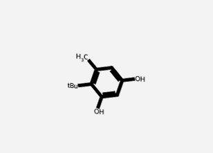 Cc1cc(O)cc(O)c1C(C)(C)C